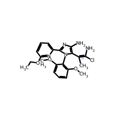 CCOc1cccc(-c2nc(N)c(/C(C)=C(\N)Cl)n2-c2c(OC)cccc2OC)n1